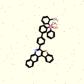 CC1C=CC=CC1P(C)(O)(c1ccccc1)c1cccc(-c2ccc(-c3nc4cc5ccccc5cc4c4c3sc3ccccc34)cc2)c1